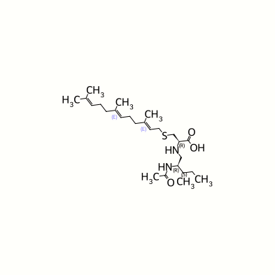 CC[C@H](C)[C@H](CN[C@@H](CSC/C=C(\C)CC/C=C(\C)CCC=C(C)C)C(=O)O)NC(C)=O